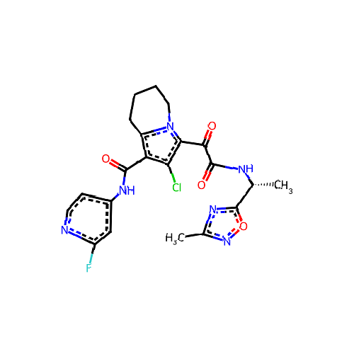 Cc1noc([C@@H](C)NC(=O)C(=O)c2c(Cl)c(C(=O)Nc3ccnc(F)c3)c3n2CCCC3)n1